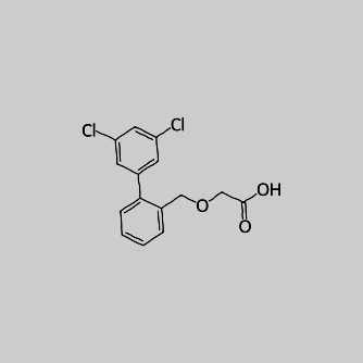 O=C(O)COCc1ccccc1-c1cc(Cl)cc(Cl)c1